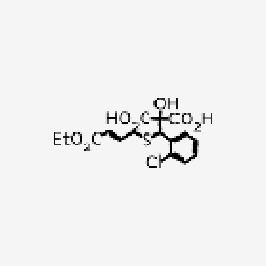 CCOC(=O)/C=C/CSC(c1ccccc1Cl)C(O)(C(=O)O)C(=O)O